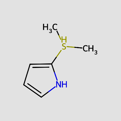 C[SH](C)c1ccc[nH]1